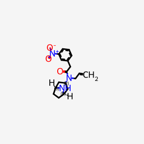 C=CCN(C(=O)Cc1cccc([N+](=O)[O-])c1)[C@H]1C[C@H]2CC[C@@H](C1)N2